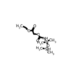 CCOC(=O)COC(=O)N[Si](C)(C)O[SiH](C)C